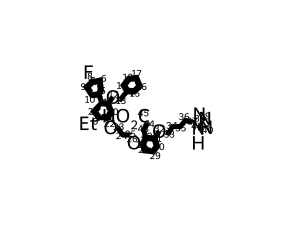 CCc1cc(-c2ccc(F)cc2)c(OCc2ccccc2)cc1OCCCOc1cccc(OCCCCc2nnn[nH]2)c1CCC(=O)O